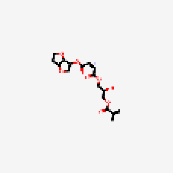 C=C(C)C(=O)OCC(O)COC(=O)/C=C\C(=O)OC1COC2CCOC21